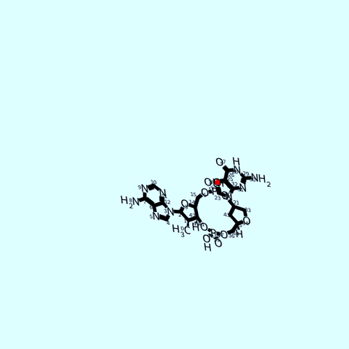 C[C@H]1C(n2cnc3c(N)ncnc32)OC2COP(=O)(O)O[C@@]3(n4cnc5c(=O)[nH]c(N)nc54)CO[C@H](COP(=O)(O)O[C@H]21)C3